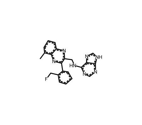 Cc1cccc2nc(CNc3ncnc4[nH]cnc34)c(-c3ccccc3CF)nc12